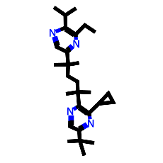 CCc1nc(C(C)(C)CCC(C)(C)c2ncc(C(C)(C)C)nc2C2CC2)cnc1C(C)C